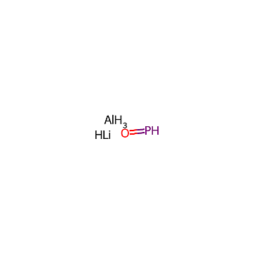 O=P.[AlH3].[LiH]